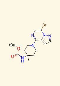 CC1(NC(=O)OC(C)(C)C)CCN(c2ncc(Br)n3nccc23)CC1